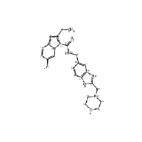 CCc1nc2ccc(Cl)cn2c1C(=O)NCc1ccc2oc(CN3CCOCC3)nc2c1